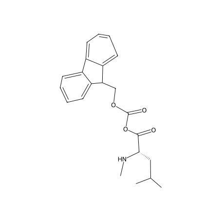 CN[C@@H](CC(C)C)C(=O)OC(=O)OCC1c2ccccc2-c2ccccc21